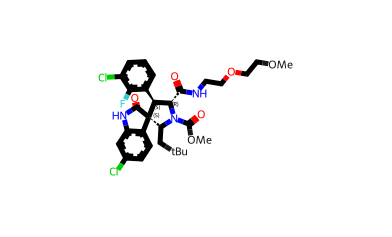 COCCOCCNC(=O)[C@H]1[C@H](c2cccc(Cl)c2F)[C@@]2(C(=O)Nc3cc(Cl)ccc32)C(CC(C)(C)C)N1C(=O)OC